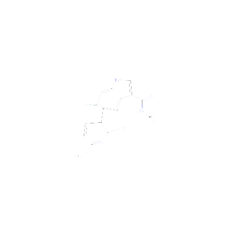 COc1ccc(-c2c(F)cc3[nH]cc(-c4noc(=O)[nH]4)c3c2F)c(OC)n1